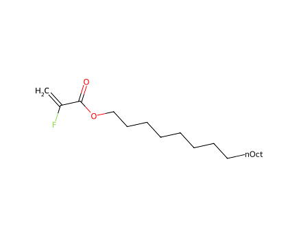 C=C(F)C(=O)OCCCCCCCCCCCCCCCC